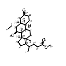 CC[C@H]1C(=O)[C@@H]2[C@H](CC[C@]3(C)[C@@H](C(C)CCC(=O)OC)CC[C@@H]23)[C@@]2(C)CCC(=O)C[C@@H]12